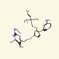 Cc1c(N)nc(N)nc1CCOc1ccc(-c2cccc(N)c2)c(OCC(C)(C)/C=C/C#N)c1